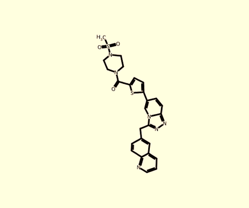 CS(=O)(=O)N1CCN(C(=O)c2ccc(-c3ccc4nnc(Cc5ccc6ncccc6c5)n4c3)s2)CC1